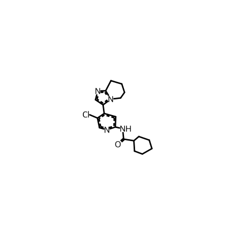 O=C(Nc1cc(-c2cnc3n2CCCC3)c(Cl)cn1)C1CCCCC1